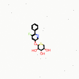 O[C@@H]1[C@@H](O)[C@@H](Oc2cnc(-c3ccccc3)c(F)c2)SC[C@H]1O